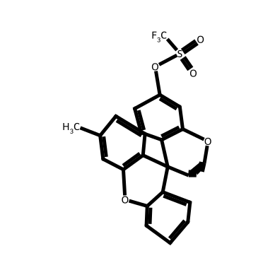 Cc1ccc2c(c1)Oc1ccccc1C21c2ccccc2Oc2cc(OS(=O)(=O)C(F)(F)F)ccc21